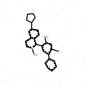 Cc1cc(F)c(-c2ccccc2)cc1-c1c2ccc(C3CCCC3)cc2cc[n+]1C